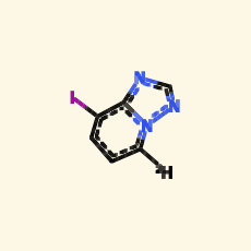 [2H]c1ccc(I)c2ncnn12